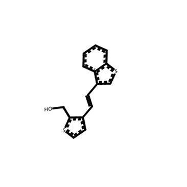 OCc1sccc1/C=C/c1csc2ccccc12